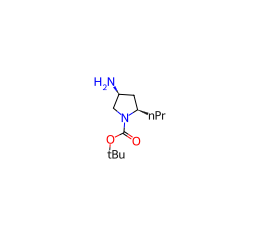 CCC[C@@H]1C[C@H](N)CN1C(=O)OC(C)(C)C